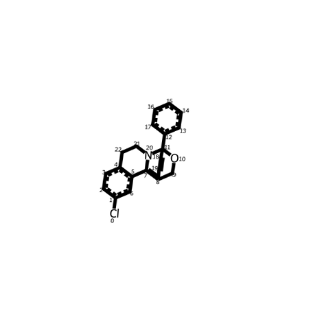 Clc1ccc2c(c1)C1=C3[CH]OC(c4ccccc4)(C=C3)N1CC2